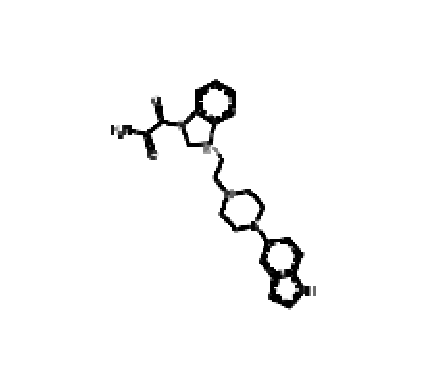 NC(=O)C(=O)N1C[C@@H](CCN2CCN(c3ccc4[nH]ccc4c3)CC2)c2ccccc21